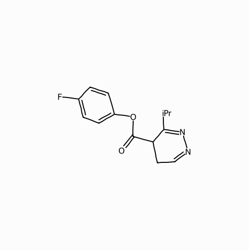 CC(C)C1=NN=CCC1C(=O)Oc1ccc(F)cc1